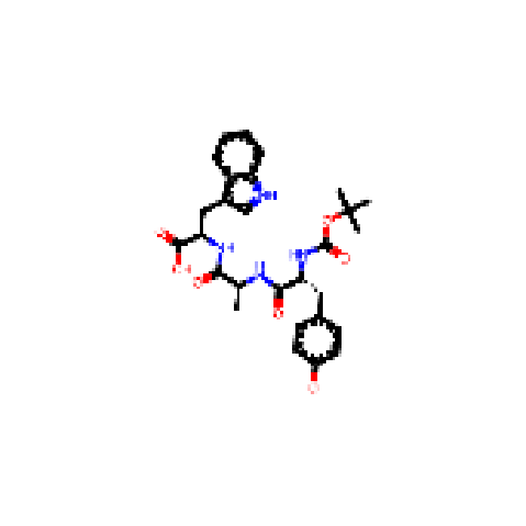 C[C@H](NC(=O)[C@@H](Cc1ccc(O)cc1)NC(=O)OC(C)(C)C)C(=O)N[C@H](Cc1c[nH]c2ccccc12)C(=O)O